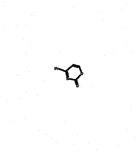 CC(C)c1ccoc(=O)n1